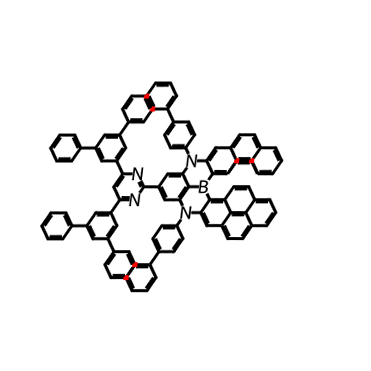 c1ccc(-c2ccc(N3c4cc(-c5nc(-c6cc(-c7ccccc7)cc(-c7ccccc7)c6)cc(-c6cc(-c7ccccc7)cc(-c7ccccc7)c6)n5)cc5c4B(c4c3cc3ccc6cccc7ccc4c3c67)c3c(cc4ccc6cccc7ccc3c4c67)N5c3ccc(-c4ccccc4)cc3)cc2)cc1